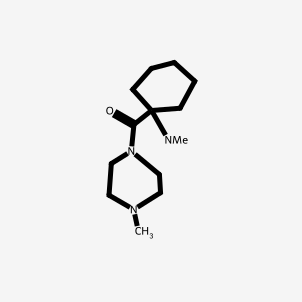 CNC1(C(=O)N2CCN(C)CC2)CCCCC1